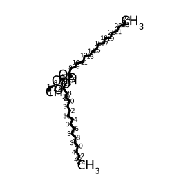 C=CCO[SiH](OC(=O)CCCCCCCCCCCCCCCCC)OC(=O)CCCCCCCCCCCCCCCCC